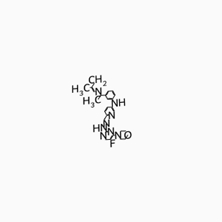 C=C/C(C)=C\N=C(/C)c1cccc(Nc2ccc(/C=N/Nc3ncc(F)c(N4CCOCC4)n3)nc2)c1